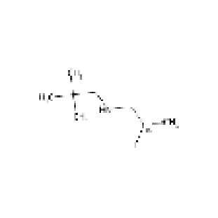 C[C@H](I)CNCC(C)(C)C